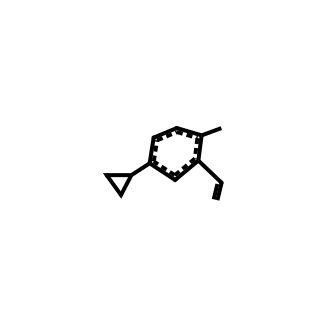 C=Cc1cc(C2CC2)ccc1C